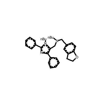 CCCCN(Cc1ccc2c(c1)CCO2)Cc1c(-c2ccccc2)nc(-c2ccccc2)n1CCCC